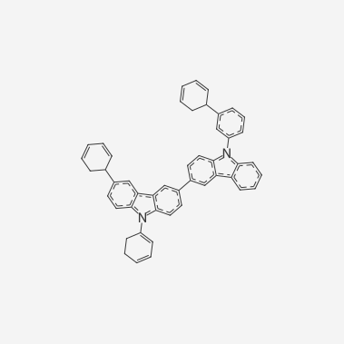 C1=CCCC(n2c3ccc(-c4ccc5c(c4)c4ccccc4n5-c4cccc(C5C=CC=CC5)c4)cc3c3cc(C4C=CC=CC4)ccc32)=C1